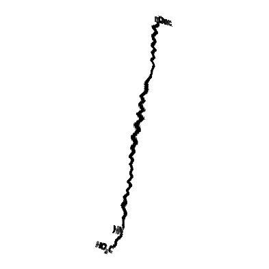 CCCCCCCCCCCCCCCCCCCCCCCCCCCCCCCCCCCCCCCCCCCCCCCCCCCCCNCCCC(=O)O